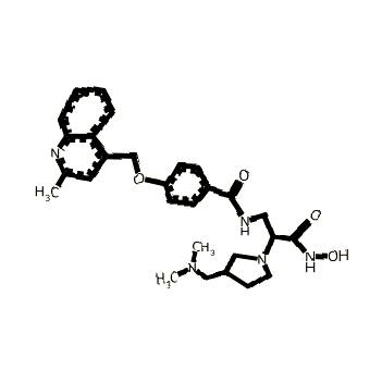 Cc1cc(COc2ccc(C(=O)NCC(C(=O)NO)N3CCC(CN(C)C)C3)cc2)c2ccccc2n1